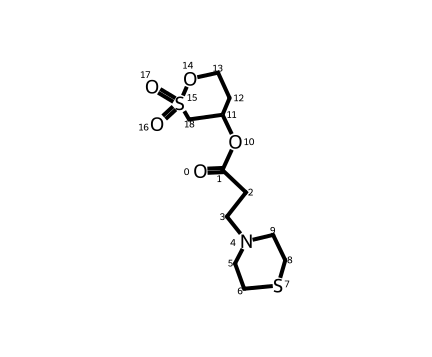 O=C(CCN1CCSCC1)OC1CCOS(=O)(=O)C1